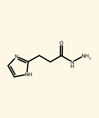 NNC(=O)CCc1ncc[nH]1